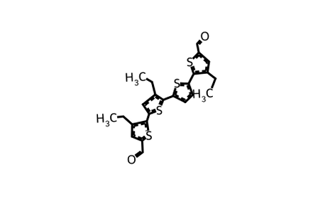 CCc1cc(C=O)sc1-c1ccc(-c2sc(-c3sc(C=O)cc3CC)cc2CC)s1